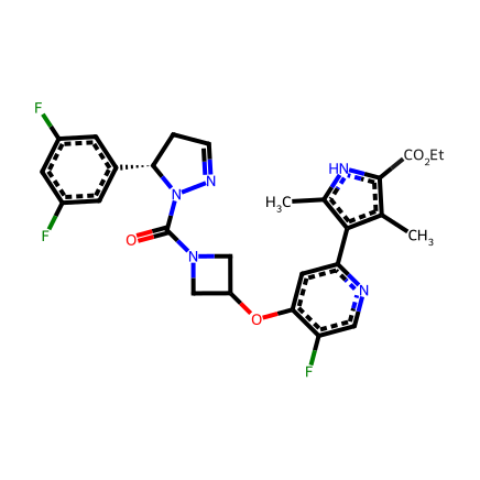 CCOC(=O)c1[nH]c(C)c(-c2cc(OC3CN(C(=O)N4N=CC[C@H]4c4cc(F)cc(F)c4)C3)c(F)cn2)c1C